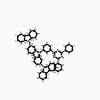 c1ccc(-c2nc(-c3ccccc3)nc(-c3cccc(-n4c5cc(-n6c7ccccc7c7ccccc76)ccc5c5ccc(-n6c7ccccc7c7ccccc76)cc54)c3)n2)cc1